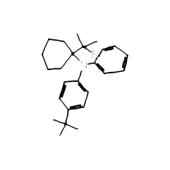 CCC(C)(C)c1ccc(N(c2ccccc2)C2(C(C)(C)CC)CCCCC2)cc1